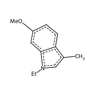 CCn1cc(C)c2ccc(OC)cc21